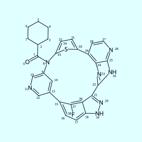 O=C(C1CCCCC1)n1c2cncc(c2)c2ccc3[nH]nc(c4nc5c(nccc5c5ccc1s5)[nH]4)c3c2F